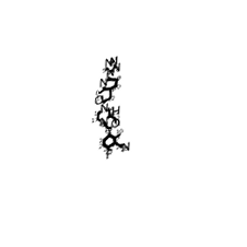 Cc1nc(-n2cnnn2)ccc1CC(=O)N1CCN2C[C@H](c3ccc(F)c(C#N)c3C)OC[C@@H]2C1